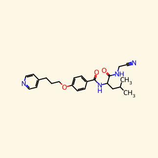 CC(C)CC(NC(=O)c1ccc(OCCCc2ccncc2)cc1)C(=O)NCC#N